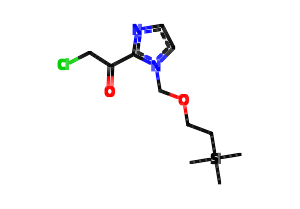 C[Si](C)(C)CCOCn1ccnc1C(=O)CCl